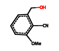 COc1cccc(CO)c1C#N